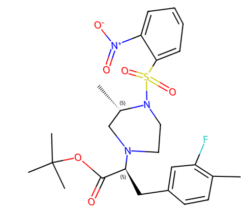 Cc1ccc(C[C@@H](C(=O)OC(C)(C)C)N2CCN(S(=O)(=O)c3ccccc3[N+](=O)[O-])[C@@H](C)C2)cc1F